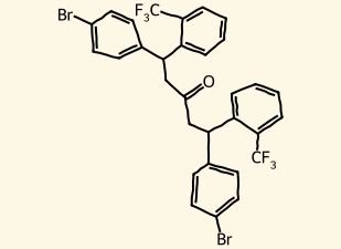 O=C(CC(c1ccc(Br)cc1)c1ccccc1C(F)(F)F)CC(c1ccc(Br)cc1)c1ccccc1C(F)(F)F